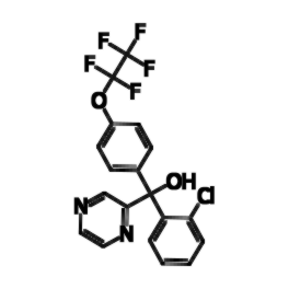 OC(c1ccc(OC(F)(F)C(F)(F)F)cc1)(c1cnccn1)c1ccccc1Cl